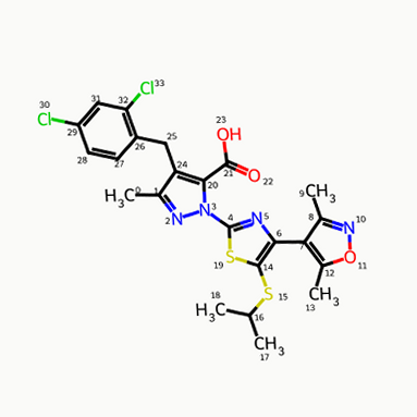 Cc1nn(-c2nc(-c3c(C)noc3C)c(SC(C)C)s2)c(C(=O)O)c1Cc1ccc(Cl)cc1Cl